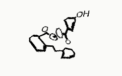 O=C(OOC(=O)c1ccccc1CCc1ccccc1)c1ccc(O)cc1